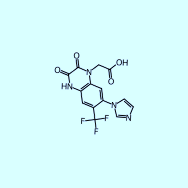 O=C(O)Cn1c(=O)c(=O)[nH]c2cc(C(F)(F)F)c(-n3ccnc3)cc21